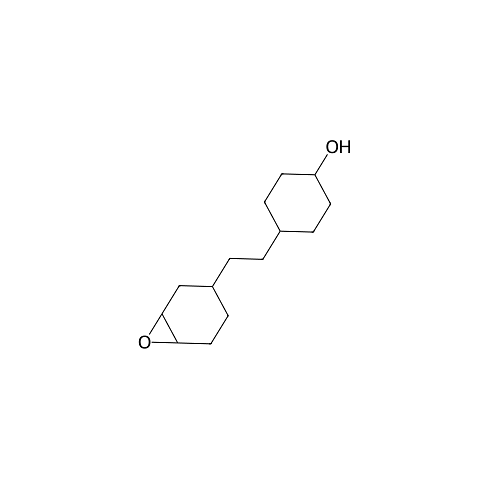 OC1CCC(CCC2CCC3OC3C2)CC1